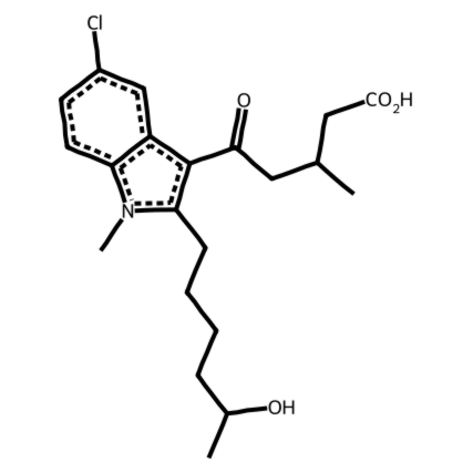 CC(O)CCCCc1c(C(=O)CC(C)CC(=O)O)c2cc(Cl)ccc2n1C